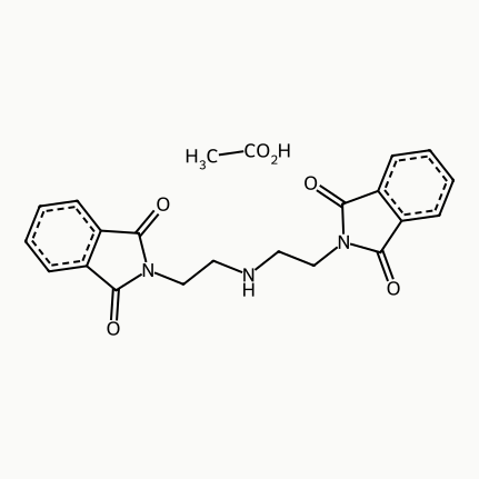 CC(=O)O.O=C1c2ccccc2C(=O)N1CCNCCN1C(=O)c2ccccc2C1=O